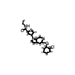 CCNC(=O)c1cc(-n2ncc3cc(Oc4ccccc4Cl)ncc32)cs1